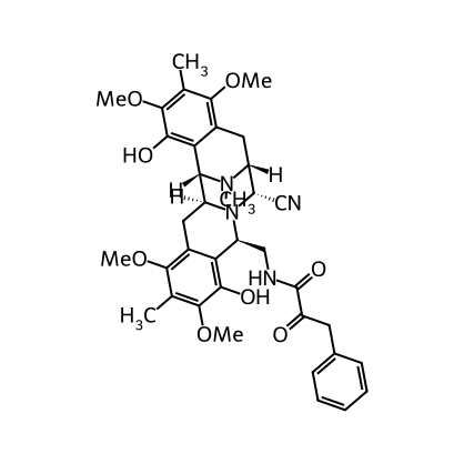 COc1c(C)c(OC)c2c(c1O)[C@H]1[C@@H]3Cc4c(OC)c(C)c(OC)c(O)c4[C@H](CNC(=O)C(=O)Cc4ccccc4)N3[C@@H](C#N)[C@@H](C2)N1C